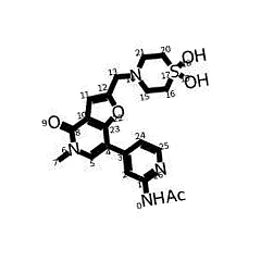 CC(=O)Nc1cc(-c2cn(C)c(=O)c3cc(CN4CCS(O)(O)CC4)oc23)ccn1